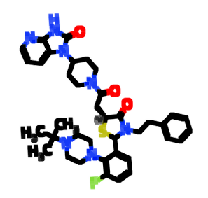 CC(C)(C)N1CCN(c2c(F)cccc2C2S[C@@H](CC(=O)N3CCC(n4c(=O)[nH]c5ncccc54)CC3)C(=O)N2CCc2ccccc2)CC1